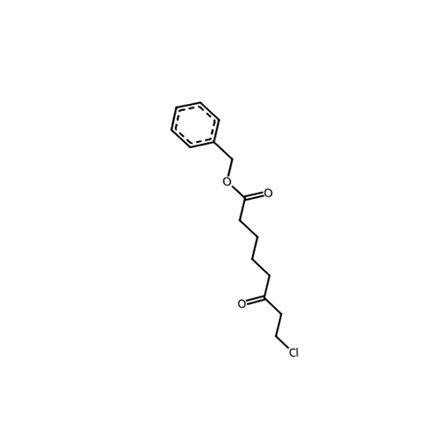 O=C(CCCl)CCCCC(=O)OCc1ccccc1